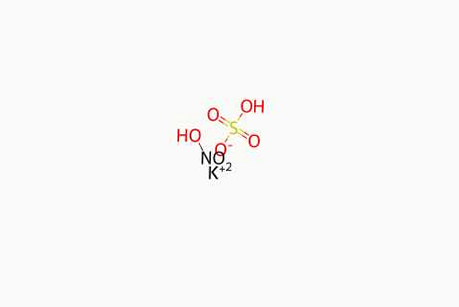 O=S(=O)([O-])O.O=[N+]([O-])O.[K+]